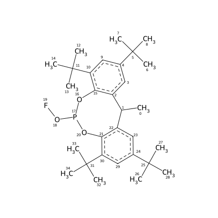 CC1c2cc(C(C)(C)C)cc(C(C)(C)C)c2OP(OF)Oc2c1cc(C(C)(C)C)cc2C(C)(C)C